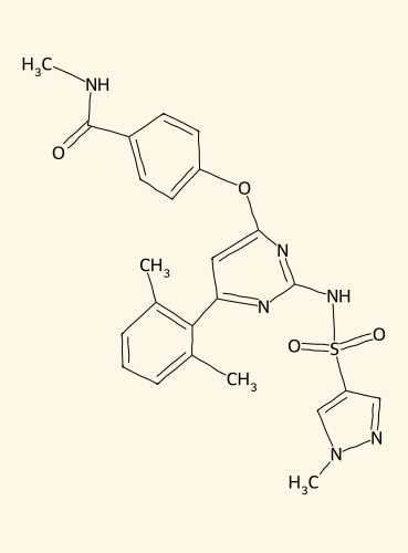 CNC(=O)c1ccc(Oc2cc(-c3c(C)cccc3C)nc(NS(=O)(=O)c3cnn(C)c3)n2)cc1